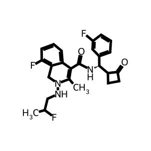 CC1=C(C(=O)N[C@H](c2cccc(F)c2)C2CCC2=O)c2cccc(F)c2CN1NCC(C)F